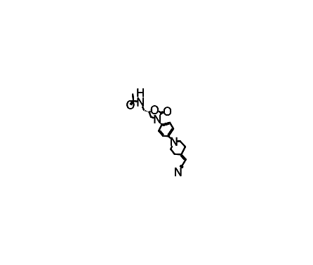 CC(=O)NC[C@H]1CN(c2ccc(N3CCC(=CC#N)CC3)cc2)C(=O)O1